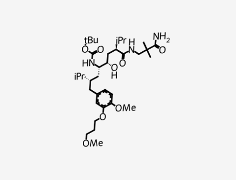 COCCCOc1cc(C[C@@H](C[C@H](NC(=O)OC(C)(C)C)[C@@H](O)C[C@H](C(=O)NCC(C)(C)C(N)=O)C(C)C)C(C)C)ccc1OC